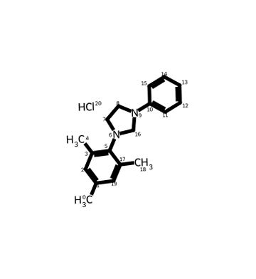 Cc1cc(C)c(N2CCN(c3ccccc3)C2)c(C)c1.Cl